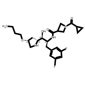 CCCCO[C@H]1CN[C@@H]([C@@H](O)[C@H](Cc2cc(F)cc(F)c2)NC(=O)C2CN(C(=O)C3CC3)C2)C1